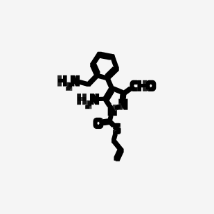 C=CCSC(=O)n1nc(C=O)c(-c2ccccc2CN)c1N